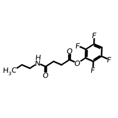 CCCNC(=O)CCC(=O)Oc1c(F)c(F)cc(F)c1F